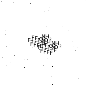 NS(=O)(=O)C(F)(F)C(F)(F)C(F)(F)C(F)(F)F.NS(=O)(=O)C(F)(F)C(F)(F)C(F)(F)C(F)(F)F.[Li]